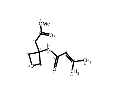 COC(=O)CC1(NC(=O)C=C(C)C)COC1